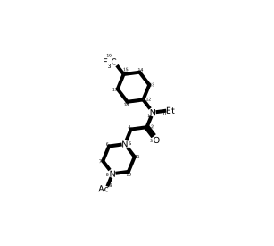 CCN(C(=O)CN1CCN(C(C)=O)CC1)C1CCC(C(F)(F)F)CC1